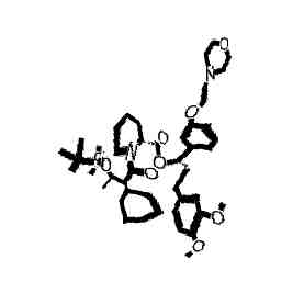 COc1ccc(CC[C@H](OC(=O)[C@H]2CCCCN2C(=O)[C@@H](C2CCCCC2)[C@@H](C)O[Si](C)(C)C(C)(C)C)c2cccc(OCCN3CCOCC3)c2)cc1OC